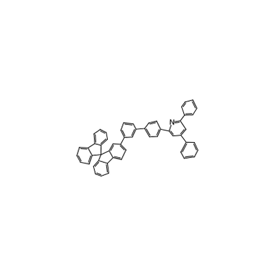 c1ccc(-c2cc(-c3ccccc3)nc(-c3ccc(-c4cccc(-c5ccc6c(c5)C5(c7ccccc7-c7ccccc75)c5ccccc5-6)c4)cc3)c2)cc1